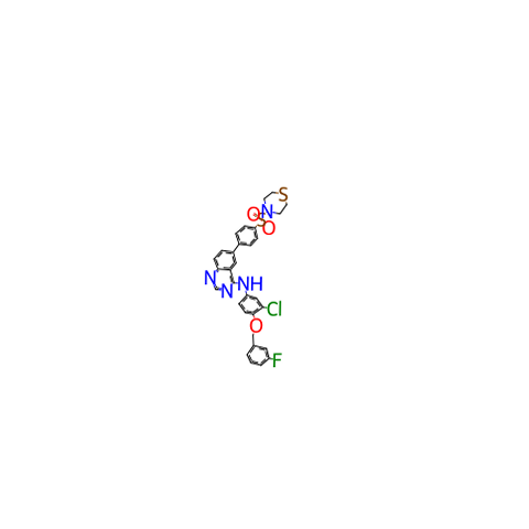 O=S(=O)(c1ccc(-c2ccc3ncnc(Nc4ccc(OCc5cccc(F)c5)c(Cl)c4)c3c2)cc1)N1CCSCC1